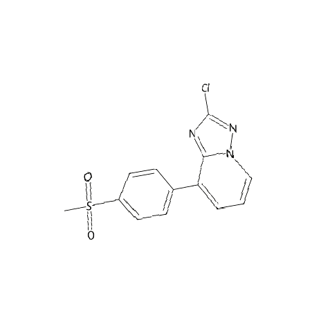 CS(=O)(=O)c1ccc(-c2cccn3nc(Cl)nc23)cc1